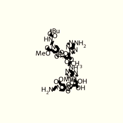 COC(=O)C1CC(S(=O)(=O)C[C@H]2O[C@@H](n3cnc4c(NCC5(C)OC6C(O5)[C@@H](CS(=O)(=O)C5CCN(CCNC(=O)OC(C)(C)C)C(C(=O)OC)C5)O[C@H]6n5cnc6c(N)ncnc65)ncnc43)C(O)C2O)CCN1CCN